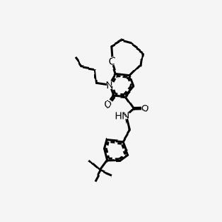 CCCCn1c2c(cc(C(=O)NCc3ccc(C(C)(C)C)cc3)c1=O)CCCCCC2